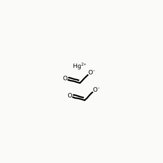 O=C[O-].O=C[O-].[Hg+2]